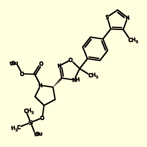 Cc1ncsc1-c1ccc(C2(C)NC([C@@H]3CC(O[Si](C)(C)C(C)(C)C)CN3C(=O)OC(C)(C)C)=NO2)cc1